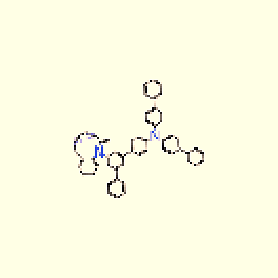 C=C1/C=C\C=C/Cc2ccccc2N1c1cc(-c2ccccc2)cc(-c2ccc(N(c3ccc(-c4ccccc4)cc3)c3ccc(-c4ccccc4)cc3)cc2)c1